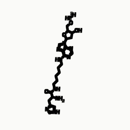 [3H]POCC1OC(n2cnc3c(NCCCCCCNC(=O)C(N)Cc4c[nH]cn4)ncnc32)CC1O